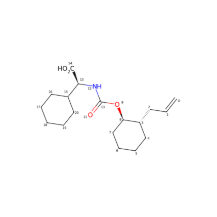 C=CC[C@@H]1CCCC[C@H]1OC(=O)N[C@H](C(=O)O)C1CCCCC1